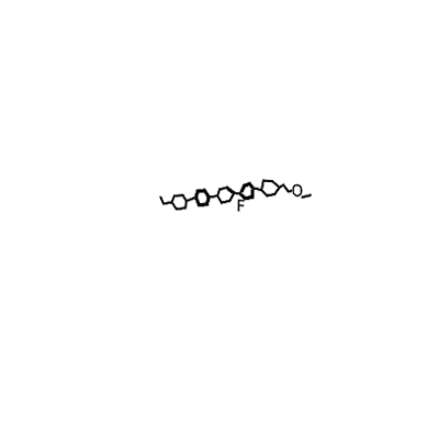 CCOCCC1CCC(c2ccc(C3=CCC(c4ccc(C5CCC(CC)CC5)cc4)CC3)c(F)c2)CC1